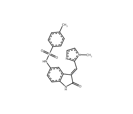 Cc1ccc(S(=O)(=O)Nc2ccc3c(c2)/C(=C\c2nccn2C)C(=O)N3)cc1